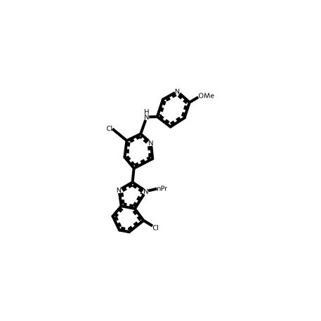 CCCn1c(-c2cnc(Nc3ccc(OC)nc3)c(Cl)c2)nc2cccc(Cl)c21